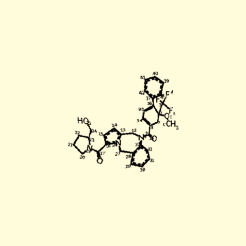 COC1(C(F)(F)F)CC(C(=O)N2Cc3ccc(C(=O)N4CCC[C@H]4CO)n3Cc3ccccc32)=CC=C1c1ccccc1